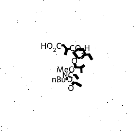 C=C(C)C(=O)OC.C=C(CC(=O)O)C(=O)O.C=CC#N.C=CC(=O)OCCCC.C=Cc1ccccc1